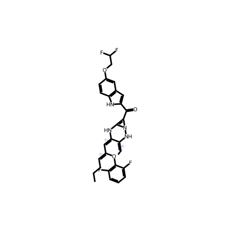 C/C=c1/[nH]n2c(C(=O)c3cc4cc(OCC(F)F)ccc4[nH]3)c-2[nH]/c1=C/C(=C/CCC)Oc1c(F)cccc1F